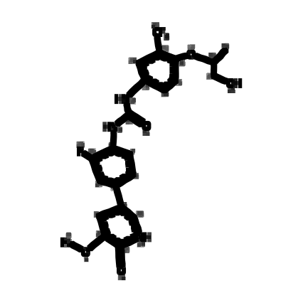 CCOc1cc(-c2ccc(NC(=O)Nc3ccc(OC(C)CO)c(C(F)(F)F)c3)c(F)c2)c[nH]c1=O